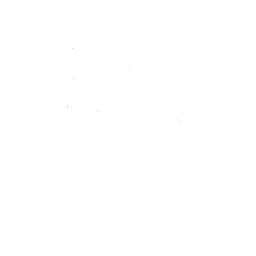 Cc1nc2c(-c3cc4cc(CN(C)Cc5ccc(C(F)(F)F)cc5)ccc4[nH]3)cc(N)nc2[nH]1